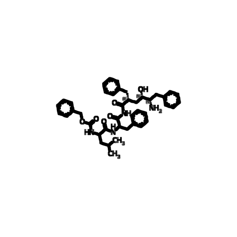 CC(C)CC(NC(=O)OCc1ccccc1)C(=O)NC(Cc1ccccc1)C(=O)NC(=O)[C@H](Cc1ccccc1)C[C@H](O)[C@@H](N)Cc1ccccc1